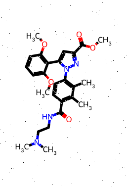 COC(=O)c1cc(-c2c(OC)cccc2OC)n(-c2ccc(C(=O)NCCN(C)C)c(C)c2C)n1